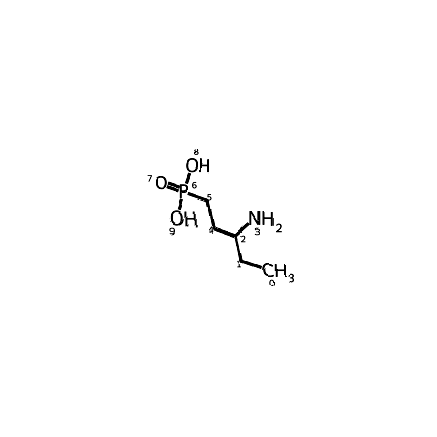 CCC(N)CCP(=O)(O)O